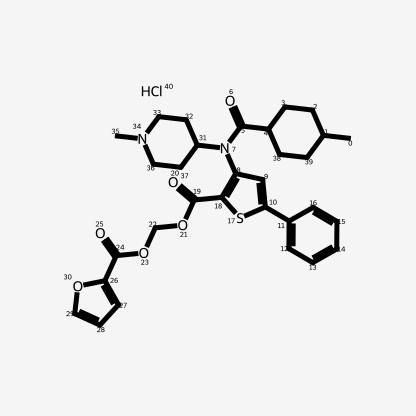 CC1CCC(C(=O)N(c2cc(-c3ccccc3)sc2C(=O)OCOC(=O)c2ccco2)C2CCN(C)CC2)CC1.Cl